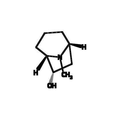 CN1[C@@H]2CCC[C@H]1[C@@H](O)C2